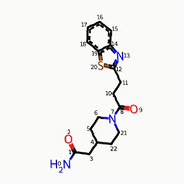 NC(=O)CC1CCN(C(=O)[CH]Cc2nc3ccccc3s2)CC1